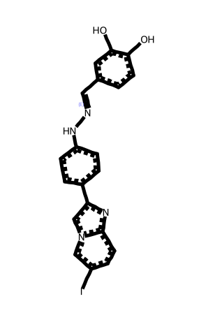 Oc1ccc(/C=N/Nc2ccc(-c3cn4cc(I)ccc4n3)cc2)cc1O